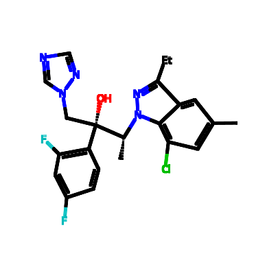 CCc1nn([C@H](C)[C@](O)(Cn2cncn2)c2ccc(F)cc2F)c2c(Cl)cc(C)cc12